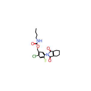 CCCCNC(=O)OCc1cc(N2C(=O)C3=C(CCCC3)C2=O)c(F)cc1Cl